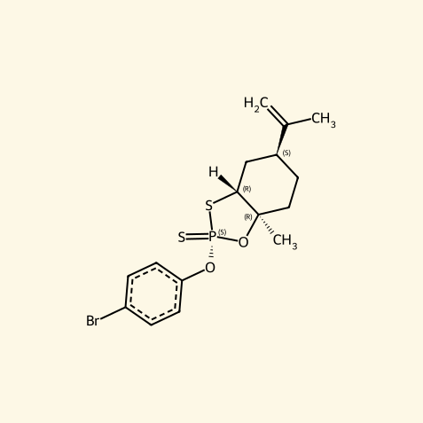 C=C(C)[C@H]1CC[C@@]2(C)O[P@](=S)(Oc3ccc(Br)cc3)S[C@@H]2C1